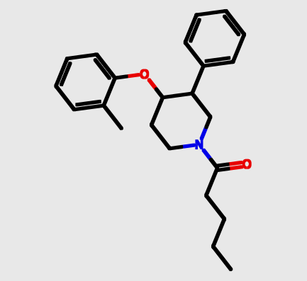 CCCCC(=O)N1CCC(Oc2ccccc2C)C(c2ccccc2)C1